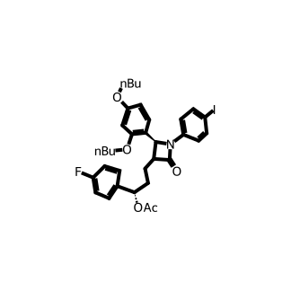 CCCCOc1ccc([C@@H]2C(CC[C@H](OC(C)=O)c3ccc(F)cc3)C(=O)N2c2ccc(I)cc2)c(OCCCC)c1